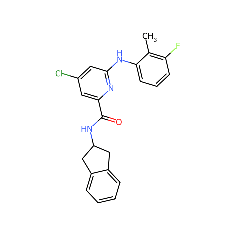 Cc1c(F)cccc1Nc1cc(Cl)cc(C(=O)NC2Cc3ccccc3C2)n1